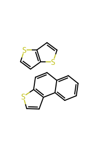 c1cc2sccc2s1.c1ccc2c(c1)ccc1sccc12